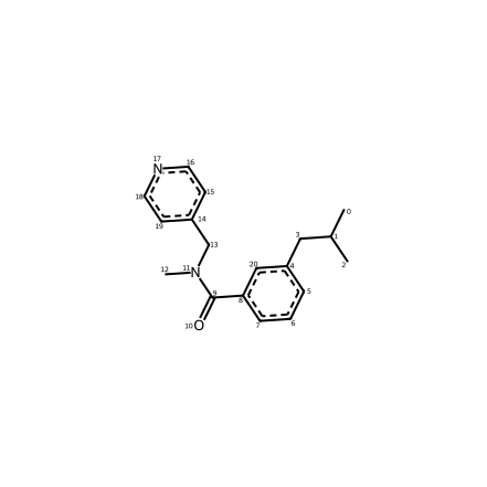 CC(C)Cc1cccc(C(=O)N(C)Cc2ccncc2)c1